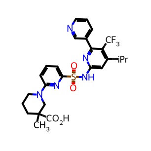 CC(C)c1cc(NS(=O)(=O)c2cccc(N3CCCC(C)(C(=O)O)C3)n2)nc(-c2cccnc2)c1C(F)(F)F